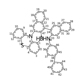 B1c2cccc3c2N(c2ccccc2S3)c2cc3ccccc3c(-c3cc4ccccc4cc3Nc3ccc(-c4ccccc4)cc3)c21